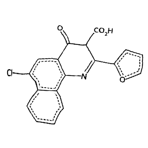 O=C(O)C1C(=O)c2cc(Cl)c3ccccc3c2N=C1c1ccco1